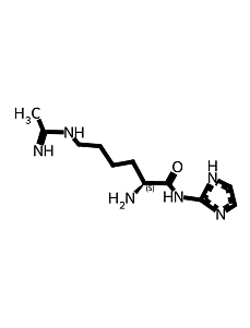 CC(=N)NCCCC[C@H](N)C(=O)Nc1ncc[nH]1